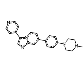 CN1CCN(c2ccc(-c3ccn4c(-c5ccncc5)cnc4c3)cc2)CC1